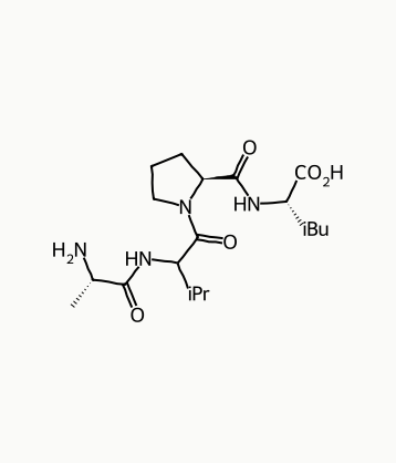 CCC(C)[C@H](NC(=O)[C@@H]1CCCN1C(=O)C(NC(=O)[C@H](C)N)C(C)C)C(=O)O